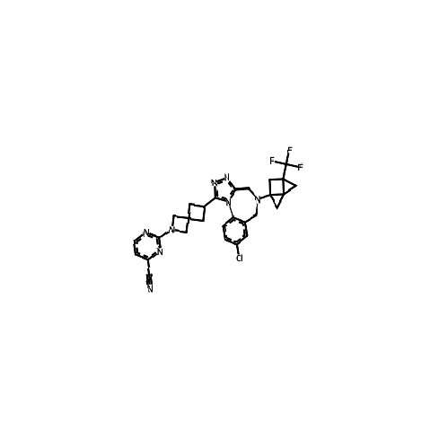 N#Cc1ccnc(N2CC3(CC(c4nnc5n4-c4ccc(Cl)cc4CN(C46CC7(C(F)(F)F)CC47C6)C5)C3)C2)n1